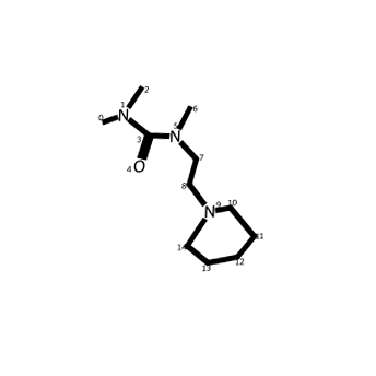 CN(C)C(=O)N(C)CCN1CCCCC1